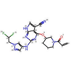 C=CC(=O)N1CCCC(Oc2nc(Nc3cnn(CC(F)F)c3)nc3[nH]cc(C#N)c23)C1